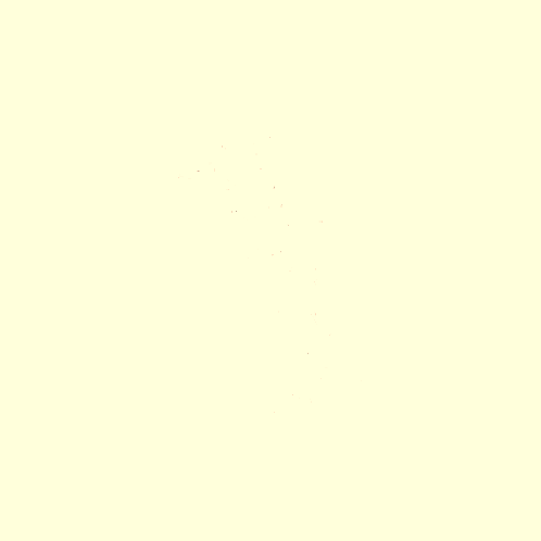 Cc1ccc(Oc2ccc(N3C(=O)C4C5C=CC(C6C(=O)N(C)C(=O)C56)C4C3=O)cc2C)c(C)c1